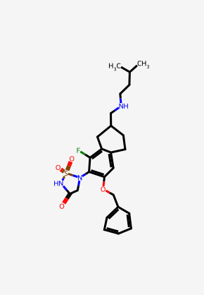 CC(C)CCNCC1CCc2cc(OCc3ccccc3)c(N3CC(=O)NS3(=O)=O)c(F)c2C1